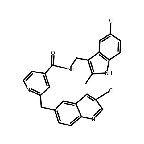 Cc1[nH]c2ccc(Cl)cc2c1CNC(=O)c1ccnc(Cc2ccc3ncc(Cl)cc3c2)c1